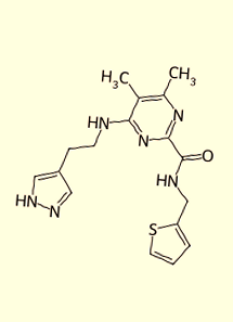 Cc1nc(C(=O)NCc2cccs2)nc(NCCc2cn[nH]c2)c1C